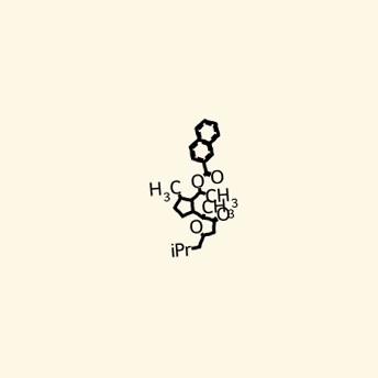 CC(C)CC1CC(=O)C(C)(C2CCC(C)C2C(C)OC(=O)c2ccc3ccccc3c2)O1